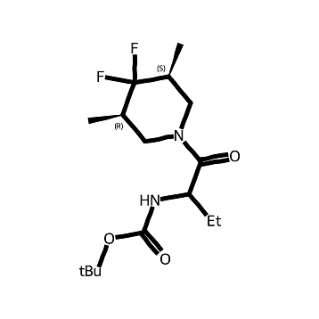 CCC(NC(=O)OC(C)(C)C)C(=O)N1C[C@@H](C)C(F)(F)[C@@H](C)C1